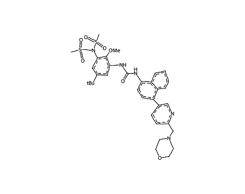 COc1c(NC(=O)Nc2ccc(-c3ccc(CN4CCOCC4)nc3)c3ccccc23)cc(C(C)(C)C)cc1N(S(C)(=O)=O)S(C)(=O)=O